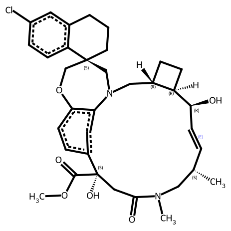 COC(=O)[C@]1(O)CC(=O)N(C)C[C@@H](C)/C=C/[C@H](O)[C@@H]2CC[C@H]2CN2C[C@@]3(CCCc4cc(Cl)ccc43)COc3ccc1cc32